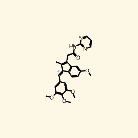 COc1ccc2c(c1)C(CC(=O)Nc1ncccn1)=C(C)/C2=C/c1cc(OC)c(OC)c(OC)c1